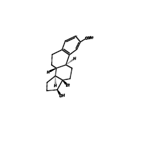 CC[C@]12CC[C@@H]3c4cc(OC)[c]cc4CC[C@H]3[C@@H]1CC[C@@H]2O